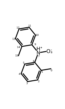 Cc1ccccc1[NH+]([O-])c1ccccc1C